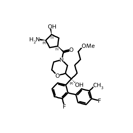 COCCCC[C@@](O)(c1cccc(F)c1-c1ccc(F)c(C)c1)C1CN(C(=O)[C@H]2C[C@@H](N)[C@@H](O)C2)CCO1